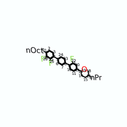 CCCCCCCCc1ccc(-c2ccc(-c3ccc(C4CCC(CCC)CO4)cc3F)cc2)c(F)c1F